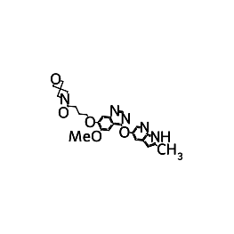 COc1cc2c(Oc3cnc4[nH]c(C)cc4c3)ncnc2cc1OCCCC(=O)N1CC2(COC2)C1